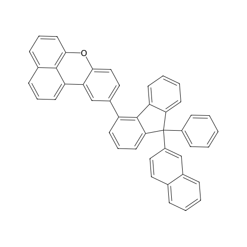 c1ccc(C2(c3ccc4ccccc4c3)c3ccccc3-c3c(-c4ccc5c(c4)-c4cccc6cccc(c46)O5)cccc32)cc1